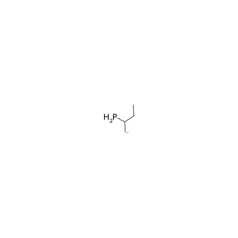 [CH2]C(P)CC